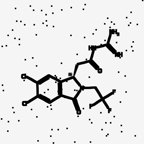 N=C(N)NC(=O)C[C@H]1c2cc(Cl)c(Cl)cc2C(=O)N1CC(F)(F)F